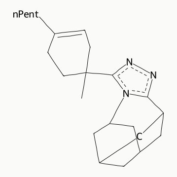 CCCCCC1=CCC(C)(c2nnc3n2C2CC4CC(CC3C4)C2)CC1